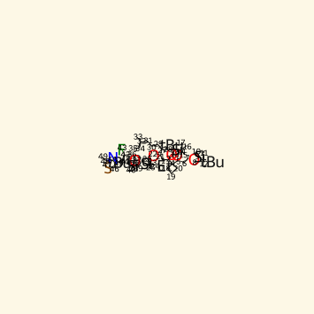 CC[C@@H](C(=O)C1([C@H](CCO[Si](C)(C)C(C)(C)C)O[Si](C)(C)C(C)(C)C)CCC1)[C@@H](O[Si](C)(C)C(C)(C)C)[C@@H](C)CCC/C(C)=C/C[C@H](O[Si](C)(C)C(C)(C)C)/C(F)=C/c1csc(C)n1